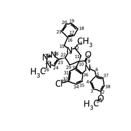 COc1ccc(CN2C(=O)[C@]3(C[C@H](C)N(Cc4ccccc4)[C@H](c4cn(C)nn4)C3)c3cc(Cl)ccc32)cc1